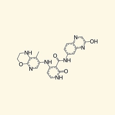 Cc1c(Nc2cc[nH]c(=O)c2C(=O)Nc2ccc3ncc(O)nc3c2)cnc2c1NCCO2